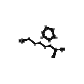 CCCCCCC(=O)O.c1ccncc1